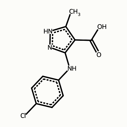 Cc1[nH]nc(Nc2ccc(Cl)cc2)c1C(=O)O